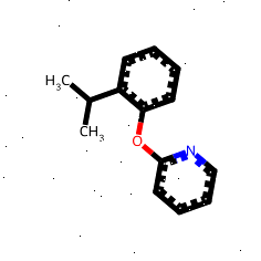 CC(C)c1ccccc1Oc1ccccn1